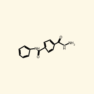 NNC(=O)c1ccc(C(=O)Nc2ccccc2)cc1